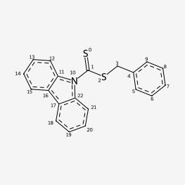 S=C(SCc1ccccc1)n1c2ccccc2c2ccccc21